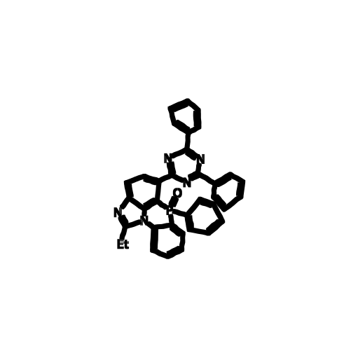 CCc1nc2ccc(-c3nc(-c4ccccc4)nc(-c4ccccc4)n3)c3c2n1-c1ccccc1P3(=O)c1ccccc1